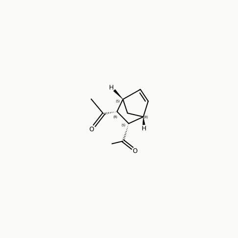 CC(=O)[C@@H]1[C@H](C(C)=O)[C@@H]2C=C[C@H]1C2